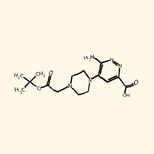 CC(C)(C)OC(=O)CN1CCN(c2cc(C(=O)O)nnc2N)CC1